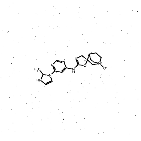 CC1NC=CN1c1cc(NC2=NC[C@@]3(C[N+]4([O-])CCC3CC4)O2)ncn1